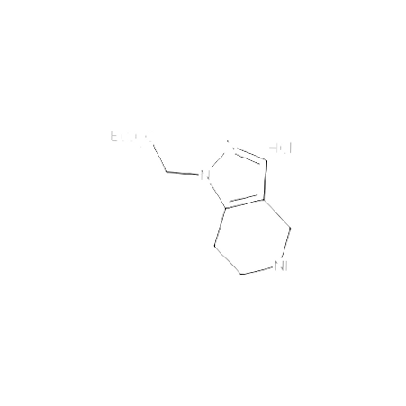 CCOC(=O)Cn1ncc2c1CCNC2.Cl